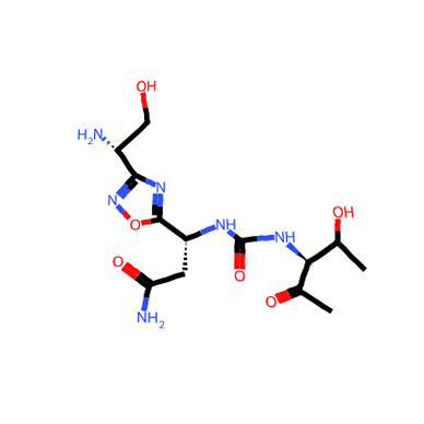 CC(=O)[C@@H](NC(=O)N[C@H](CC(N)=O)c1nc([C@H](N)CO)no1)C(C)O